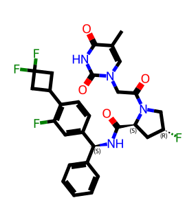 Cc1cn(CC(=O)N2C[C@H](F)C[C@H]2C(=O)N[C@@H](c2ccccc2)c2ccc(C3CC(F)(F)C3)c(F)c2)c(=O)[nH]c1=O